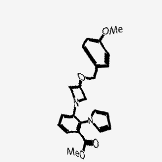 COC(=O)c1cccc(N2CC(OCc3ccc(OC)cc3)C2)c1-n1cccc1